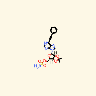 CC1(C)O[C@@H]2[C@H](O1)[C@@H](COS(N)(=O)=O)O[C@H]2n1cnc2c(C#Cc3ccccc3)ncnc21